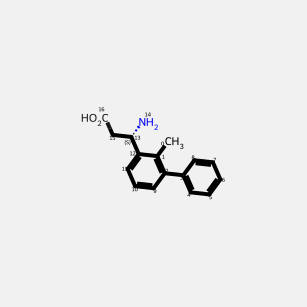 Cc1c(-c2ccccc2)cccc1[C@@H](N)CC(=O)O